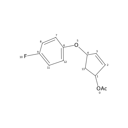 CC(=O)OC1C=CC(Oc2ccc(F)cc2)C1